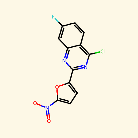 O=[N+]([O-])c1ccc(-c2nc(Cl)c3ccc(F)cc3n2)o1